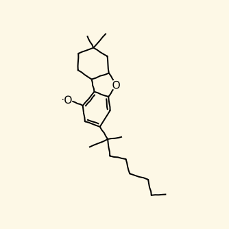 CCCCCCC(C)(C)c1cc([O])c2c(c1)OC1CC(C)(C)CCC21